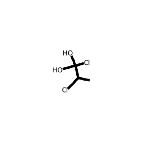 CC(Cl)C(O)(O)Cl